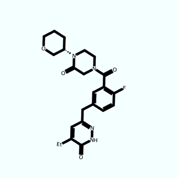 CCc1cc(Cc2ccc(F)c(C(=O)N3CCN([C@H]4CCCOC4)C(=O)C3)c2)n[nH]c1=O